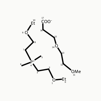 CCOCC[P+](C)(C)CCOCC.COCCOCCC(=O)[O-]